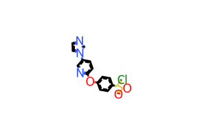 O=S(=O)(Cl)c1ccc(Oc2ccc(-n3ccnc3)cn2)cc1